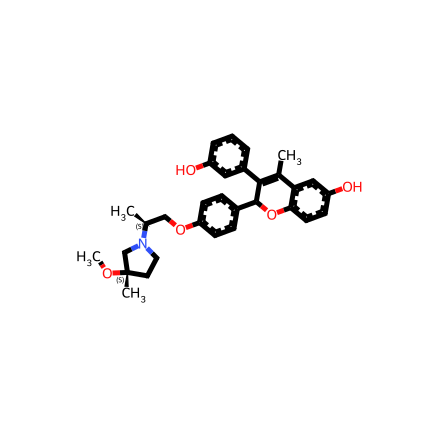 CO[C@@]1(C)CCN([C@@H](C)COc2ccc(C3Oc4ccc(O)cc4C(C)=C3c3cccc(O)c3)cc2)C1